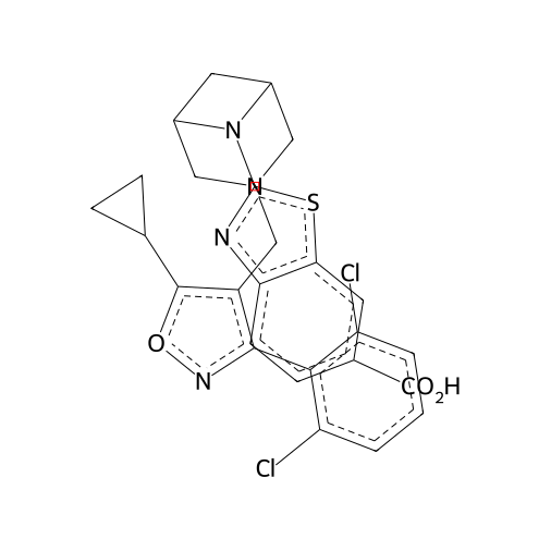 O=C(O)c1ccc2nc(N3C4CC3CN(Cc3c(-c5c(Cl)cccc5Cl)noc3C3CC3)C4)sc2c1